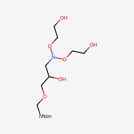 CCCCCCCCCCOCC(O)CN(OCCO)OCCO